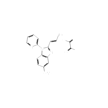 COc1ccc2c(c1)nc(C=CC(C)C)n2-c1ccccn1.O=C(O)C(=O)O